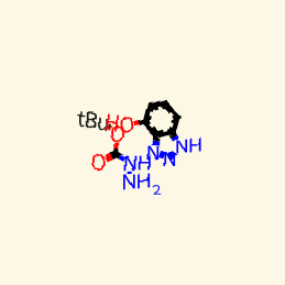 CC(C)(C)OC(=O)NN.Oc1cccc2[nH]nnc12